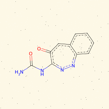 NC(=O)Nc1nnc2ccccc2cc1=O